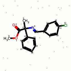 COC(=O)C(C)(N=Cc1ccc(Cl)cc1)c1ccccc1